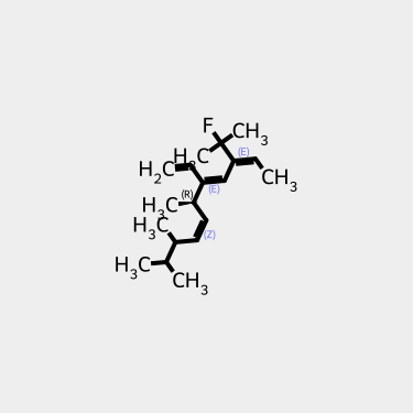 C=C/C(=C\C(=C/C)C(C)(C)F)[C@H](C)/C=C\C(C)C(C)C